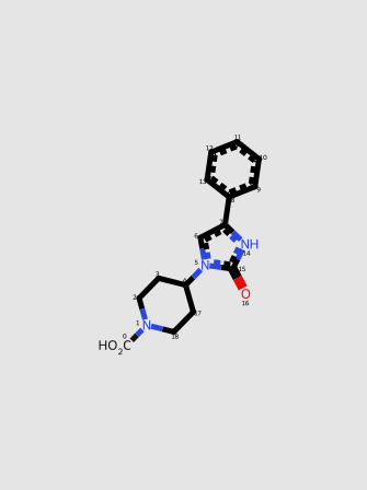 O=C(O)N1CCC(n2cc(-c3ccccc3)[nH]c2=O)CC1